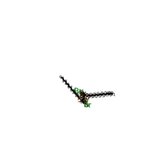 CCCCCCCCCCCCCCSc1cc(Br)sc1-c1sc(Br)cc1SCCCCCCCCCCCCCC